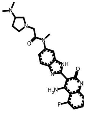 CN(C(=O)CN1CCC(N(C)C)C1)c1ccc2nc(-c3c(N)c4c(F)cccc4[nH]c3=O)[nH]c2c1